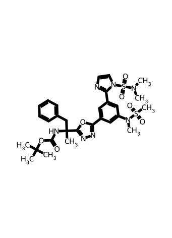 CN(c1cc(-c2nnc(C(C)(Cc3ccccc3)NC(=O)OC(C)(C)C)o2)cc(-c2nccn2S(=O)(=O)N(C)C)c1)S(C)(=O)=O